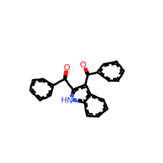 O=C(c1ccccc1)c1[nH]c2ccccc2c1C(=O)c1ccccc1